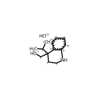 CC(C)C1(CO)CCNc2ccccc21.Cl